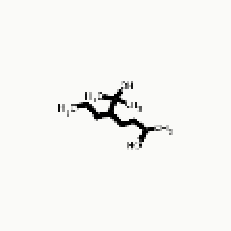 CCCC(CCC(C)O)C(C)(C)O